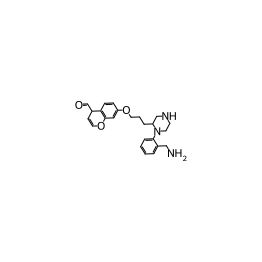 NCc1ccccc1N1CCNCC1CCCOc1ccc2c(c1)OC=CC2C=O